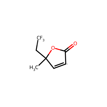 CC1(CC(F)(F)F)C=[C]C(=O)O1